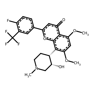 COc1cc(OC)c2c(=O)cc(-c3ccc(F)c(C(F)(F)F)c3)oc2c1[C@H]1CCN(C)C[C@H]1O